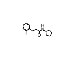 Cc1ccccc1[CH]CC(=O)NC1CCCC1